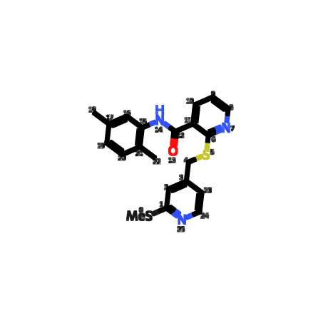 CSc1cc(CSc2ncccc2C(=O)Nc2cc(C)ccc2C)ccn1